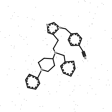 N#Cc1ccc(Cn2cncc2CCN(Cc2ccccc2)C2CCN(c3ccccc3)CC2)cc1